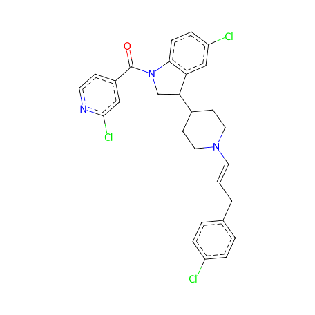 O=C(c1ccnc(Cl)c1)N1CC(C2CCN(C=CCc3ccc(Cl)cc3)CC2)c2cc(Cl)ccc21